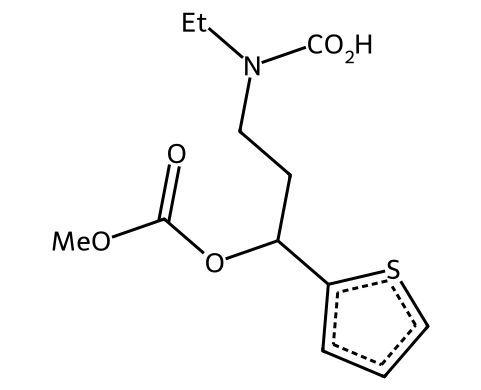 CCN(CCC(OC(=O)OC)c1cccs1)C(=O)O